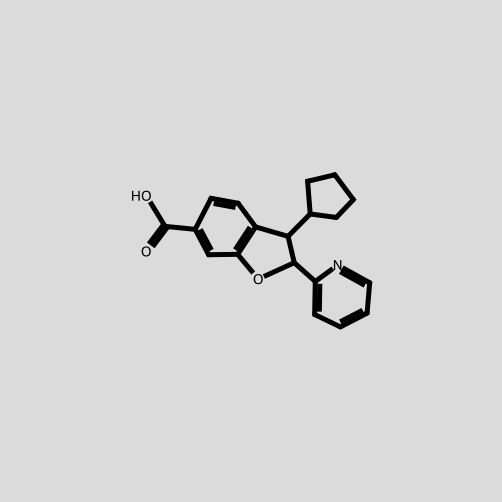 O=C(O)c1ccc2c(c1)OC(c1ccccn1)C2C1CCCC1